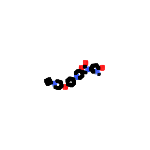 Cn1cc(N2CC3(CCN(c4ccc(OC5CCN(C6CCC6)CC5)cc4)CC3)OC2=O)ccc1=O